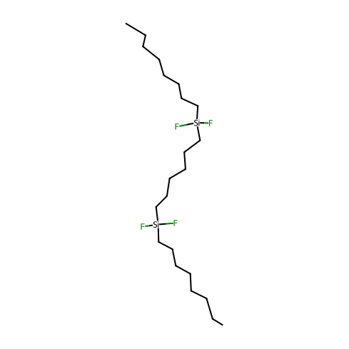 CCCCCCCC[Si](F)(F)CCCCCC[Si](F)(F)CCCCCCCC